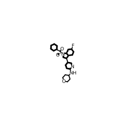 O=S(=O)(c1ccccc1)n1cc(-c2ccc(NC3CCOCC3)nc2)c2ccc(F)cc21